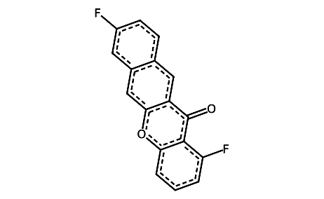 O=c1c2cc3ccc(F)cc3cc2oc2cccc(F)c12